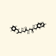 CC(CNCC(=O)NCC(=O)NCc1ccc2nccn2c1)Cc1ccccc1